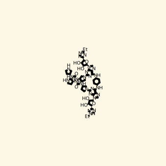 CCn1nnc([C@H]2O[C@@H](n3cnc4c(N[C@H]5CC[C@H](Nc6nc(N7CC[C@@H](NC(=O)N[C@@H]8CCNC8)C7)nc7c6ncn7[C@@H]6O[C@H](c7nnn(CC)n7)[C@@H](O)[C@H]6O)CC5)nc(N5CC[C@@H](NC(=O)N[C@@H]6CCNC6)C5)nc43)[C@H](O)[C@@H]2O)n1